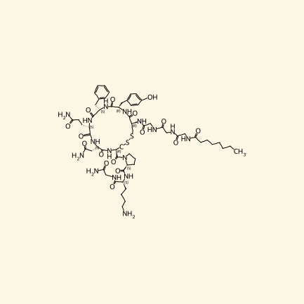 CCCCCCCC(=O)NCC(=O)NCC(=O)NCC(=O)N[C@H]1CSSC[C@@H](C(=O)N2CCC[C@H]2C(=O)N[C@@H](CCCCN)C(=O)NCC(N)=O)NC(=O)[C@H](CC(N)=O)NC(=O)[C@H](CCC(N)=O)NC(=O)[C@H](Cc2ccccc2)NC(=O)[C@@H](Cc2ccc(O)cc2)NC1=O